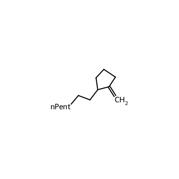 C=C1CCCC1CCCCCCC